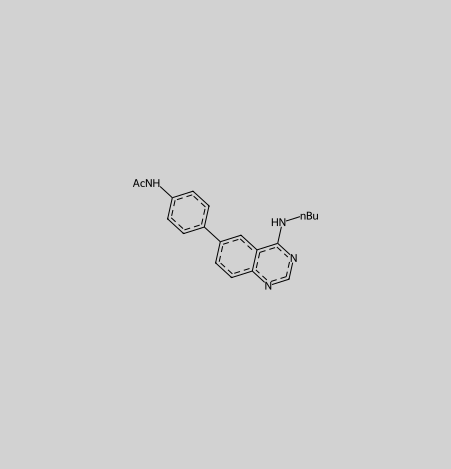 CCCCNc1ncnc2ccc(-c3ccc(NC(C)=O)cc3)cc12